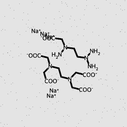 NN(N)CCN(N)CC(=O)[O-].O=C([O-])CN(CCN(CC(=O)[O-])CC(=O)[O-])CC(=O)[O-].[Na+].[Na+].[Na+].[Na+].[Na+]